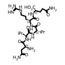 CC(C)[C@H](NC(=O)[C@@H](NC(=O)[C@@H](N)CC(N)=O)C(C)C)C(=O)N[C@@H](CCCNC(=N)N)C(=O)N[C@@H](CCC(N)=O)C(=O)O